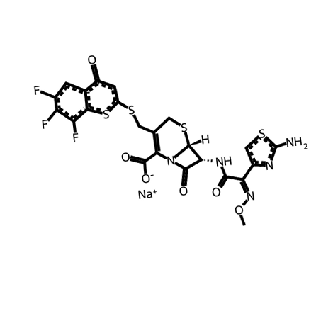 CO/N=C(\C(=O)N[C@@H]1C(=O)N2C(C(=O)[O-])=C(CSc3cc(=O)c4cc(F)c(F)c(F)c4s3)CS[C@H]12)c1csc(N)n1.[Na+]